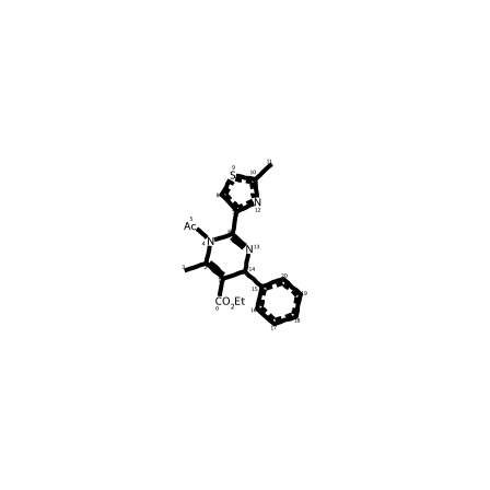 CCOC(=O)C1=C(C)N(C(C)=O)C(c2csc(C)n2)=NC1c1ccccc1